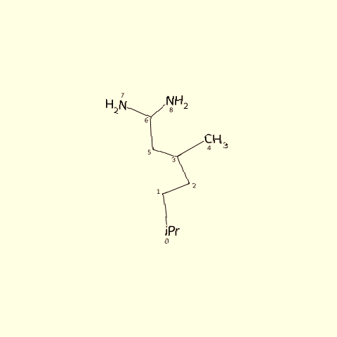 CC(C)CCC(C)CC(N)N